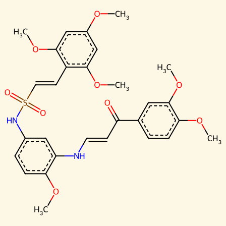 COc1cc(OC)c(C=CS(=O)(=O)Nc2ccc(OC)c(NC=CC(=O)c3ccc(OC)c(OC)c3)c2)c(OC)c1